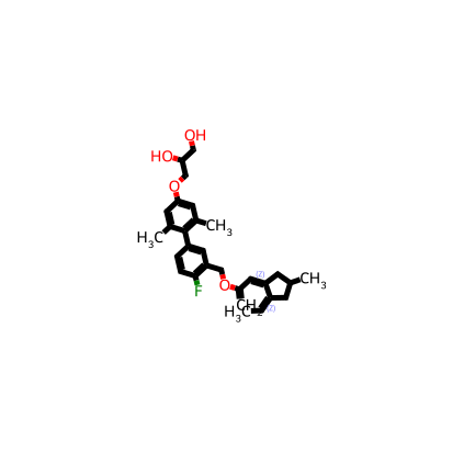 C=C(/C=C1/CC(C)C/C1=C/C)OCc1cc(-c2c(C)cc(OCC(O)CO)cc2C)ccc1F